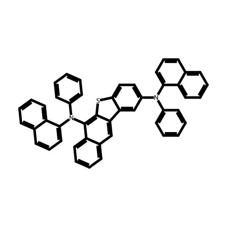 c1ccc(N(c2ccc3sc4c(N(c5ccccc5)c5cccc6ccccc56)c5ccccc5cc4c3c2)c2cccc3ccccc23)cc1